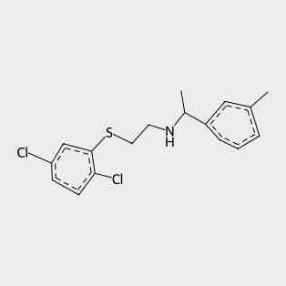 Cc1cccc(C(C)NCCSc2cc(Cl)ccc2Cl)c1